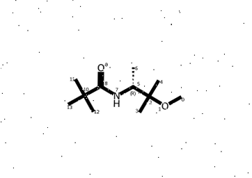 COC(C)(C)[C@@H](C)NC(=O)C(C)(C)C